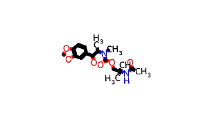 CC(=O)NC(C)(C)COC(=O)N(C)C(C)C(=O)c1ccc2c(c1)OCO2